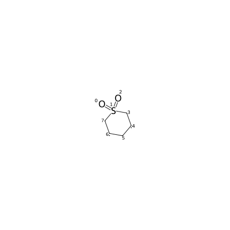 O=S1(=O)C[CH]C[CH]C1